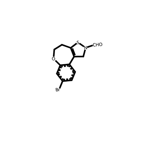 O=CN1CC2=C(CCOc3cc(Br)ccc32)S1